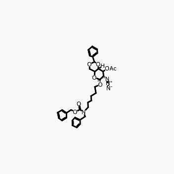 CC(=O)OC1[C@H]2OC(c3ccccc3)OCC2O[C@@H](OCCCCCCN(Cc2ccccc2)C(=O)OCc2ccccc2)[C@H]1N=[N+]=[N-]